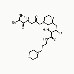 CCC(C)C(N)C(=O)NCC(=O)CN1CCOC(CC(CC)C(N)C(=O)NCCCN2CCOCC2)C1